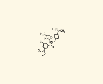 C=C(N)COc1cc(C(=C)N)ccc1CNC(=O)c1cc(Cl)cc(N2CCCC2=O)c1